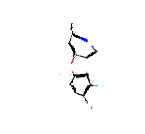 Bc1ccc(Oc2ccnc(C)c2)cc1F.O.O